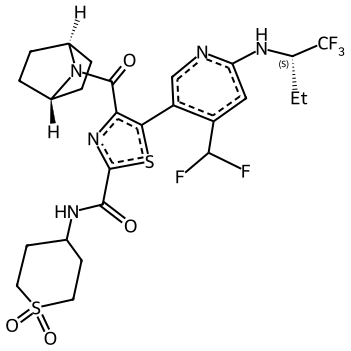 CC[C@H](Nc1cc(C(F)F)c(-c2sc(C(=O)NC3CCS(=O)(=O)CC3)nc2C(=O)N2[C@H]3CC[C@H]2CC3)cn1)C(F)(F)F